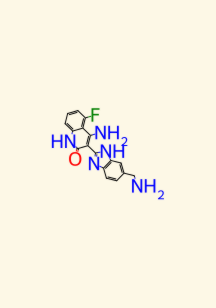 NCc1ccc2nc(-c3c(N)c4c(F)cccc4[nH]c3=O)[nH]c2c1